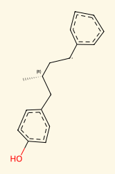 C[C@H](C[CH]c1ccccc1)Cc1ccc(O)cc1